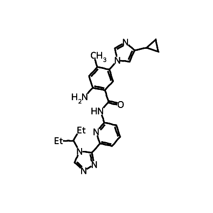 CCC(CC)n1cnnc1-c1cccc(NC(=O)c2cc(-n3cnc(C4CC4)c3)c(C)cc2N)n1